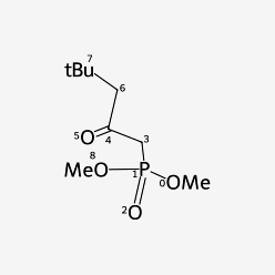 COP(=O)(CC(=O)CC(C)(C)C)OC